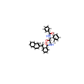 C=C(c1ccc2ccccc2c1)c1ccccc1C(=O)N[C@@H](Cc1ccccc1)C(=O)CNC(=O)c1ccccc1